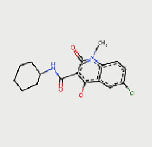 Cn1c(=O)c(C(=O)NC2CCCCC2)c(O)c2cc(Cl)ccc21